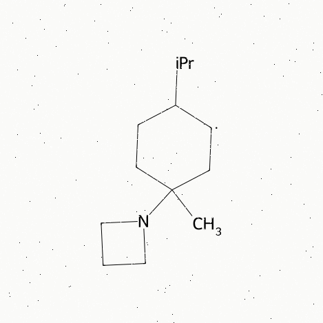 CC(C)C1[CH]CC(C)(N2CCC2)CC1